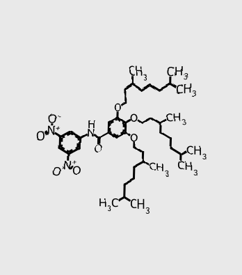 CC(C)CCCC(C)CCOc1cc(C(=O)Nc2cc([N+](=O)[O-])cc([N+](=O)[O-])c2)cc(OCCC(C)CCCC(C)C)c1OCCC(C)CCCC(C)C